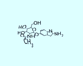 CC(=O)NC1C(O)[C@H](O)C(CO)O[C@H]1OC1=CC2CC(N)N=C2C=C1